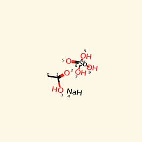 CC(=O)O.[NaH].[O]=[Sb]([OH])([OH])[OH]